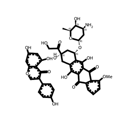 COc1cccc2c1C(=O)c1c(O)c3c(c(O)c1C2=O)C[C@@](O)(C(=O)CO)C[C@@H]3O[C@H]1C[C@H](N)[C@H](O)[C@H](C)O1.O=c1c(-c2ccc(O)cc2)coc2cc(O)cc(O)c12